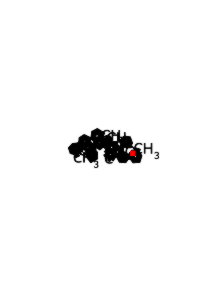 Cc1cccc2c1oc1c(N(c3ccccc3)c3cc4c(c5ccccc35)-c3cc(N(c5ccccc5)c5cccc6c5oc5c(C)cccc56)c5ccccc5c3C4(C)C)cccc12